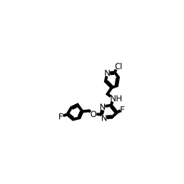 Fc1ccc(COc2ncc(F)c(NCc3ccc(Cl)nc3)n2)cc1